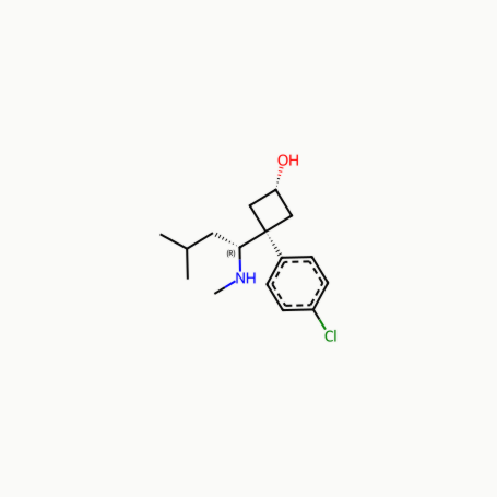 CN[C@H](CC(C)C)[C@]1(c2ccc(Cl)cc2)C[C@@H](O)C1